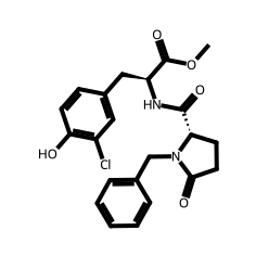 COC(=O)[C@H](Cc1ccc(O)c(Cl)c1)NC(=O)[C@@H]1CCC(=O)N1Cc1ccccc1